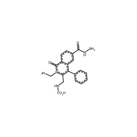 CC(C)Cn1c(CNC(=O)O)c(-c2ccccc2)c2cc(C(=O)NN)ccc2c1=O